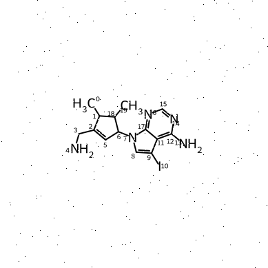 CC1C(CN)=CC(n2cc(I)c3c(N)ncnc32)C1C